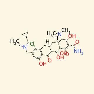 CCN(Cc1cc(O)c2c(c1Cl)C[C@H]1C[C@H]3[C@H](N(C)C)C(O)=C(C(N)=O)C(=O)[C@@]3(O)C(O)=C1C2=O)CC1CC1